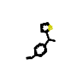 C=Cc1ccc(C(C)c2cccs2)cc1